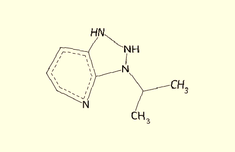 CC(C)N1NNc2cccnc21